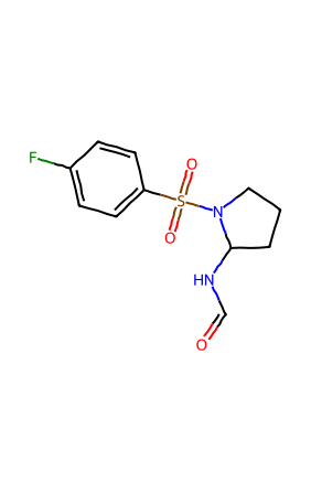 O=CNC1CCCN1S(=O)(=O)c1ccc(F)cc1